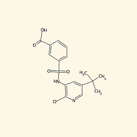 CC(C)(C)c1cnc(Cl)c(NS(=O)(=O)c2cccc(C(=O)O)c2)c1